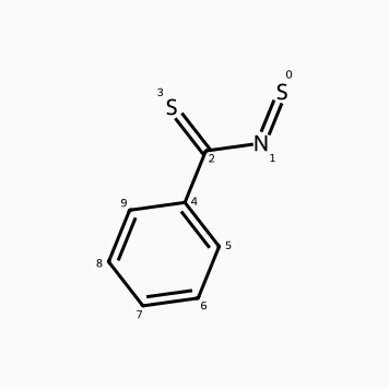 S=NC(=S)c1ccccc1